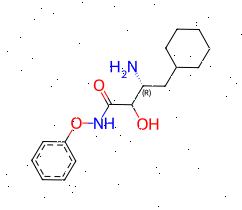 N[C@H](CC1CCCCC1)C(O)C(=O)NOc1ccccc1